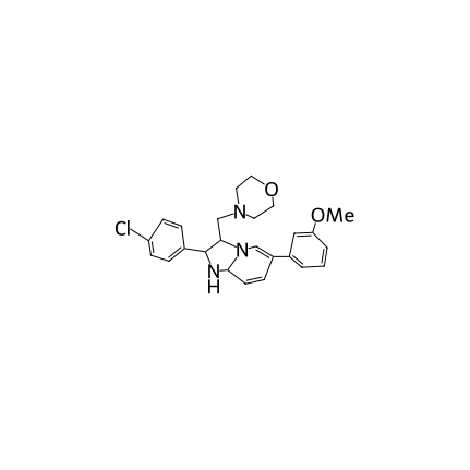 COc1cccc(C2=CN3C(C=C2)NC(c2ccc(Cl)cc2)C3CN2CCOCC2)c1